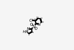 O=S(=O)(c1cc[nH]n1)c1ncccc1Cl